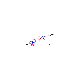 CCCCCCCCCN(CCCCCCCCC)CC(=O)OCCC1CCN(C(=O)OCCCC)CC1